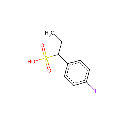 CCC(c1ccc(I)cc1)S(=O)(=O)O